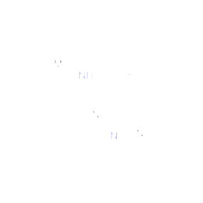 CSNCC1CCN(c2ncnc3ccc(F)cc23)C1